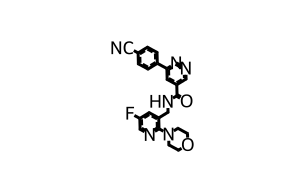 N#Cc1ccc(-c2cc(C(=O)NCc3cc(F)cnc3N3CCOCC3)cnn2)cc1